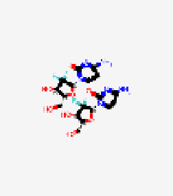 Nc1ccn([C@@H]2O[C@H](CO)[C@@H](O)C2(F)F)c(=O)n1.Nc1ccn([C@@H]2O[C@H](CO)[C@@H](O)C2(F)F)c(=O)n1